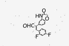 O=C/C(=C/c1ccc(F)cc1F)c1ccc2c(c1)NC(=O)CO2